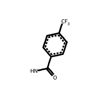 [NH]C(=O)c1ccc(C(F)(F)F)cc1